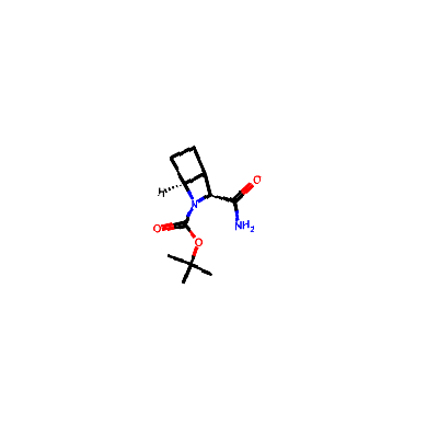 CC(C)(C)OC(=O)N1[C@H](C(N)=O)C2CC[C@@H]21